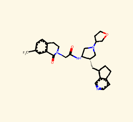 O=C(CN1CCc2ccc(C(F)(F)F)cc2C1=O)NC1CN(C2CCOC2)C[C@@H]1CC1CCc2ccncc21